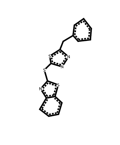 c1ccc(Cc2nnc(Sc3nc4ccccc4s3)s2)cc1